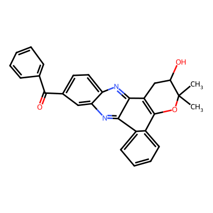 CC1(C)Oc2c(c3nc4ccc(C(=O)c5ccccc5)cc4nc3c3ccccc23)CC1O